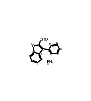 O=Cc1oc2ccccc2c1-c1ccccc1.P